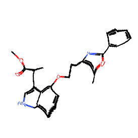 COC(=O)C(C)c1c[nH]c2cccc(OCCc3nc(-c4ccccc4)oc3C)c12